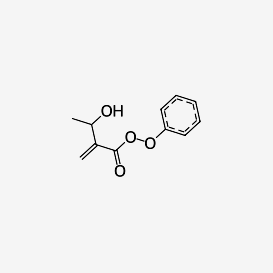 C=C(C(=O)OOc1ccccc1)C(C)O